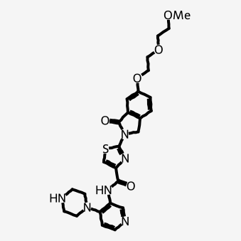 COCCOCCOc1ccc2c(c1)C(=O)N(c1nc(C(=O)Nc3cnccc3N3CCNCC3)cs1)C2